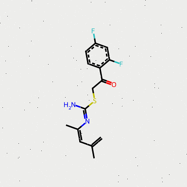 C=C(C)/C=C(C)\N=C(/N)SCC(=O)c1ccc(F)cc1F